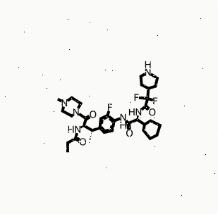 CCC(=O)N[C@@H](C(=O)N1CCN(C)CC1)[C@@H](C)c1ccc(NC(=O)[C@@H](NC(=O)C(F)(F)C2CCNCC2)C2CCCCC2)c(F)c1